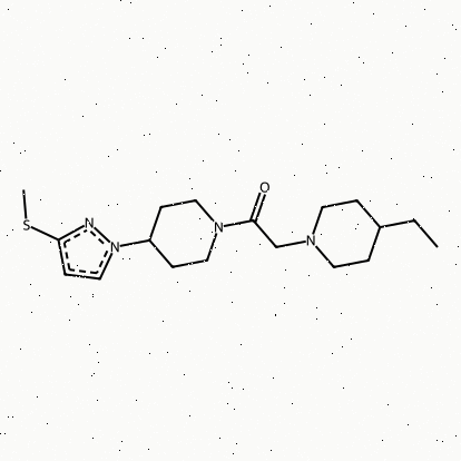 CCC1CCN(CC(=O)N2CCC(n3ccc(SC)n3)CC2)CC1